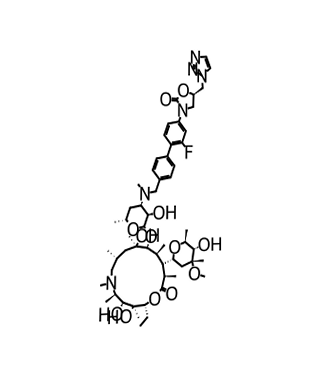 CC[C@H]1OC(=O)[C@H](C)C([C@H]2C[C@@](C)(OC)[C@@H](O)[C@H](C)O2)[C@H](C)[C@@H](O[C@@H]2O[C@H](C)C[C@H](N(C)Cc3ccc(-c4ccc(N5C[C@H](Cn6ccnn6)OC5=O)cc4F)cc3)[C@H]2O)[C@](C)(O)C[C@@H](C)CN(C)[C@H](C)[C@@H](O)[C@]1(C)O